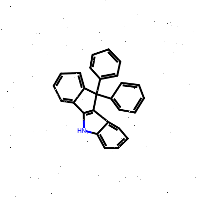 c1ccc(C2(c3ccccc3)c3ccccc3-c3[nH]c4ccccc4c32)cc1